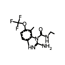 CCNC(=O)N(C(=N)N)c1c(C)ccc(OC(F)(F)F)c1C